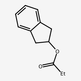 CCC(=O)OC1Cc2ccccc2C1